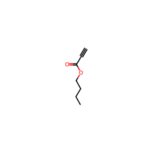 C#CC(=O)OCCCC